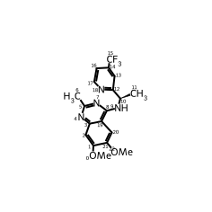 COc1cc2nc(C)nc(N[C@H](C)c3cc(C(F)(F)F)ccn3)c2cc1OC